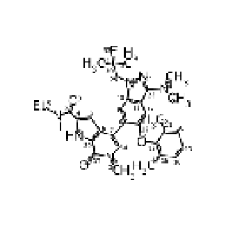 CCNC(=O)c1cc2c(-c3cc4c(cc3Oc3c(C)cccc3C)c(N(C)C)nn4CC(C)(C)F)cn(C)c(=O)c2[nH]1